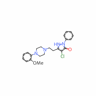 COc1ccccc1N1CCN(CCc2[nH]n(-c3ccccc3)c(=O)c2Cl)CC1